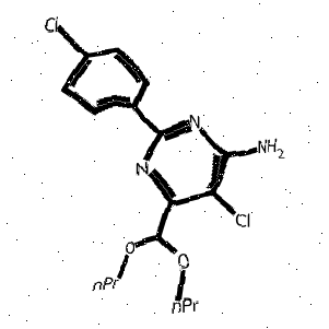 CCCOC(OCCC)c1nc(-c2ccc(Cl)cc2)nc(N)c1Cl